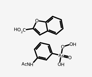 CC(=O)Nc1cccc([As](=O)(O)OO)c1.O=C(O)c1cc2ccccc2o1